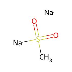 C[S](=O)(=O)[Na].[Na]